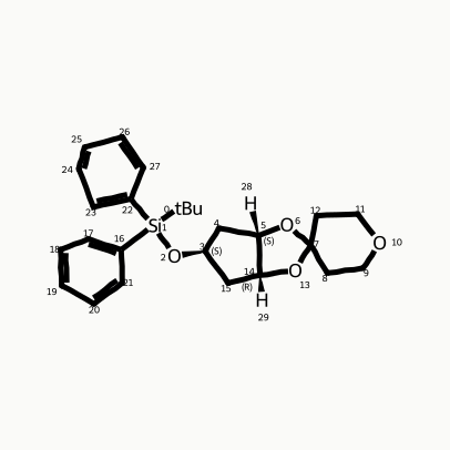 CC(C)(C)[Si](O[C@H]1C[C@@H]2OC3(CCOCC3)O[C@@H]2C1)(c1ccccc1)c1ccccc1